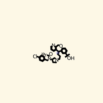 CC(C)C(=O)N(Cc1ccc(Cl)cc1)C1CCN(CC/C=C2\c3cc(C(C)(C)O)ccc3OCc3ncccc32)C1